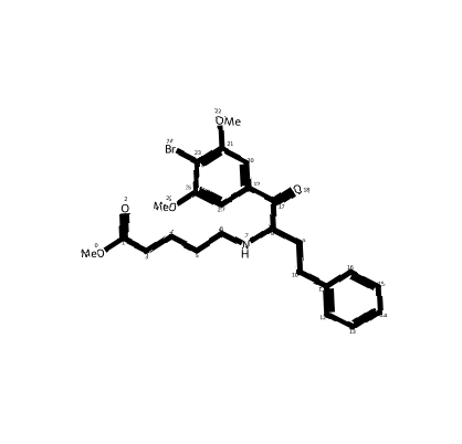 COC(=O)CCCCNC(CCc1ccccc1)C(=O)c1cc(OC)c(Br)c(OC)c1